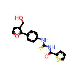 O=C(NC(=S)Nc1ccc(-c2occc2CO)cc1)c1cccs1